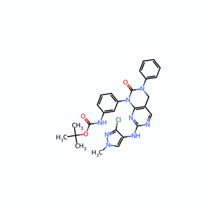 Cn1cc(Nc2ncc3c(n2)N(c2cccc(NC(=O)OC(C)(C)C)c2)C(=O)N(c2ccccc2)C3)c(Cl)n1